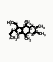 C=Cc1c(/C=C\C)[nH]c2c1C(=C)C(CN(C)C(C)=S)CC2=C